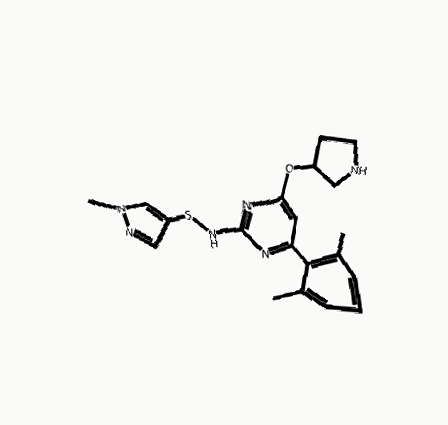 Cc1cccc(C)c1-c1cc(OC2CCNC2)nc(NSc2cnn(C)c2)n1